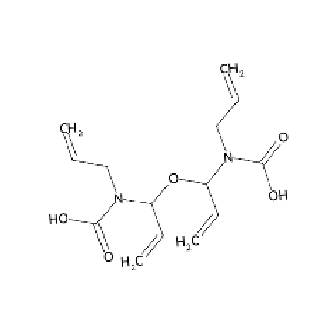 C=CCN(C(=O)O)C(C=C)OC(C=C)N(CC=C)C(=O)O